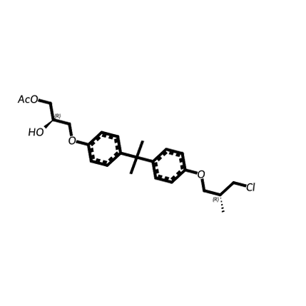 CC(=O)OC[C@H](O)COc1ccc(C(C)(C)c2ccc(OC[C@@H](C)CCl)cc2)cc1